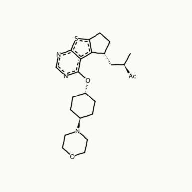 CC(=O)[C@H](C)C[C@H]1CCc2sc3ncnc(O[C@H]4CC[C@H](N5CCOCC5)CC4)c3c21